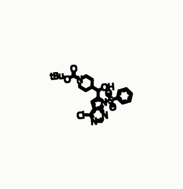 CC(C)(C)OC(=O)N1CCC(C(O)c2cc3c(Cl)ncnc3n2S(=O)(=O)c2ccccc2)CC1